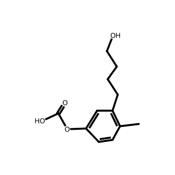 Cc1ccc(OC(=O)O)cc1CCCCO